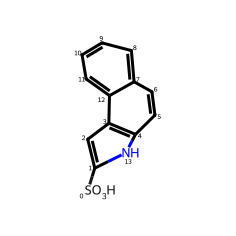 O=S(=O)(O)c1cc2c(ccc3ccccc32)[nH]1